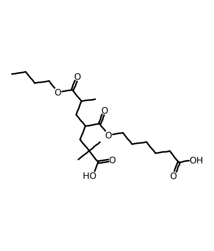 CCCCOC(=O)C(C)CC(CC(C)(C)C(=O)O)C(=O)OCCCCCC(=O)O